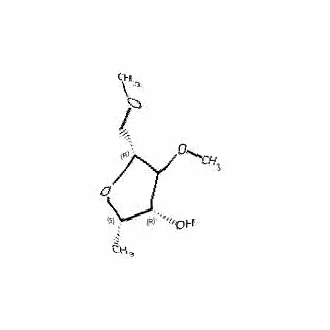 COC[C@H]1O[C@@H](C)[C@@H](O)C1OC